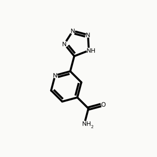 NC(=O)c1ccnc(-c2nnn[nH]2)c1